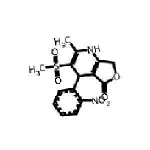 CC1=C(S(C)(=O)=O)C(c2ccccc2[N+](=O)[O-])C2=C(COC2=O)N1